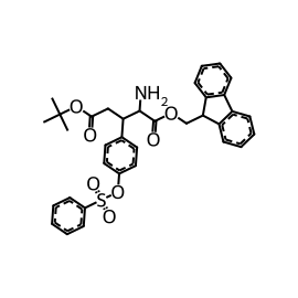 CC(C)(C)OC(=O)CC(c1ccc(OS(=O)(=O)c2ccccc2)cc1)C(N)C(=O)OCC1c2ccccc2-c2ccccc21